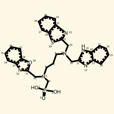 O=P(O)(O)CN(CCCN(Cc1nc2ccccc2[nH]1)Cc1nc2ccccc2s1)Cc1nc2ccccc2o1